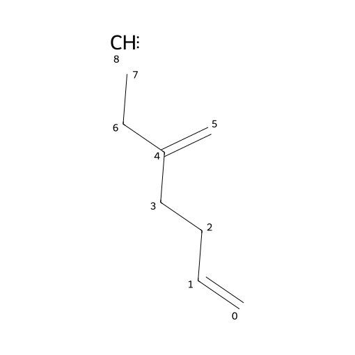 C=CCCC(=C)CC.[CH]